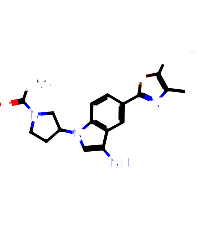 CCOC(=O)c1sc(-c2ccc3c(c2)c(N)cn3C2CCN(C(=O)OC)C2)nc1C